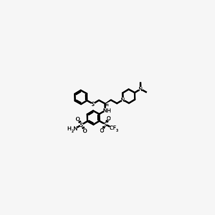 CN(C)C1CCN(CC[C@H](CSc2ccccc2)Nc2ccc(S(N)(=O)=O)cc2S(=O)(=O)C(F)(F)F)CC1